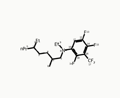 CCCC(CC)CCC(C)CN(CC)c1cc(F)c(F)c(C(F)(F)F)c1F